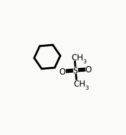 C1CCCCC1.CS(C)(=O)=O